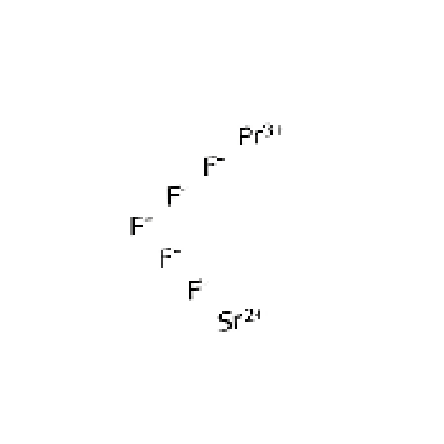 [F-].[F-].[F-].[F-].[F-].[Pr+3].[Sr+2]